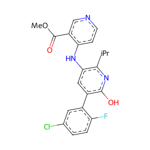 COC(=O)c1cnccc1Nc1cc(-c2cc(Cl)ccc2F)c(O)nc1C(C)C